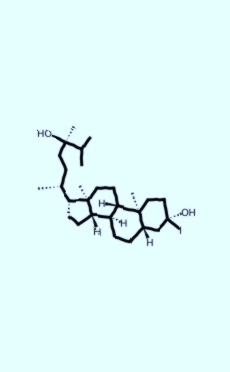 CC(C)[C@](C)(O)CC[C@@H](C)[C@H]1CC[C@H]2[C@@H]3CC[C@H]4C[C@](O)(I)CC[C@]4(C)[C@H]3CC[C@]12C